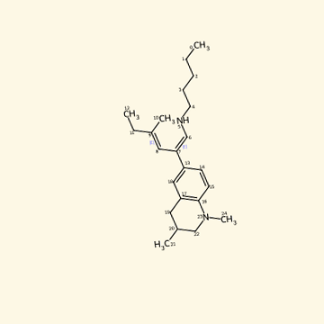 CCCCCN/C=C(\C=C(/C)CC)c1ccc2c(c1)CC(C)CN2C